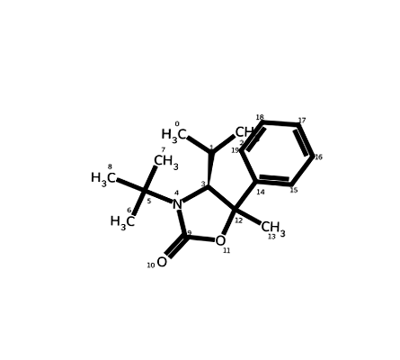 CC(C)[C@@H]1N(C(C)(C)C)C(=O)OC1(C)c1ccccc1